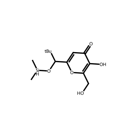 C[SiH](C)OC(c1cc(=O)c(O)c(CO)o1)C(C)(C)C